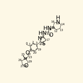 Cc1cc(-c2nc(NC(=O)N[C@H]3CCCNC3)cs2)ccc1OC[C@@]1(C)CCOC1